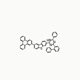 c1ccc(-c2ccccc2C2=NC(c3ccccc3)NC(c3ccc4c(c3)sc3ccc(-c5ccc6c7ccccc7c7ccccc7c6c5)cc34)=N2)cc1